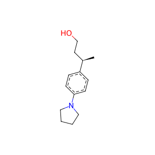 C[C@H](CCO)c1ccc(N2CCCC2)cc1